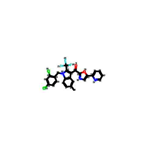 Cc1ccc2c(c1)c(C(=O)c1ncc(-c3ccccn3)o1)c(C(F)(F)F)n2Cc1ccc(Cl)cc1Cl